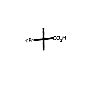 CC[CH]C(C)(C)C(=O)O